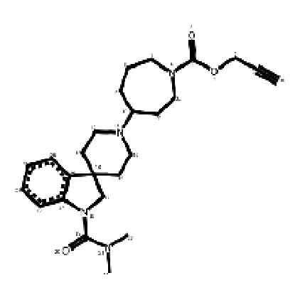 C#CCOC(=O)N1CCCC(N2CCC3(CC2)CN(C(=O)N(C)C)c2ccccc23)CC1